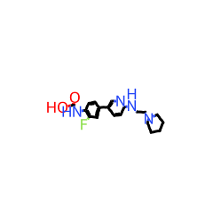 O=C(O)Nc1ccc(-c2ccc(NCCN3CCCCC3)nc2)cc1F